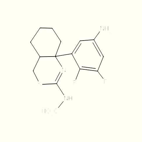 Nc1cc(F)c(F)c(C23CCCCC2CSC(NC(=O)O)=N3)c1